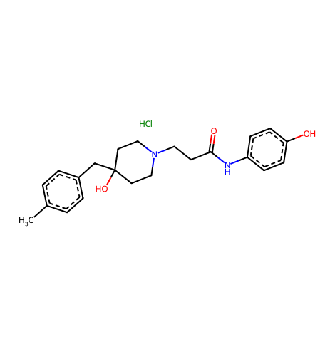 Cc1ccc(CC2(O)CCN(CCC(=O)Nc3ccc(O)cc3)CC2)cc1.Cl